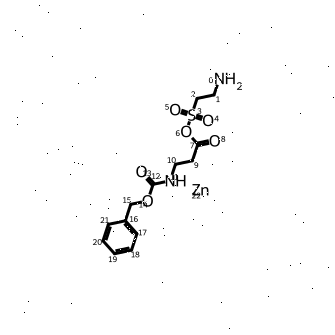 NCCS(=O)(=O)OC(=O)CCNC(=O)OCc1ccccc1.[Zn]